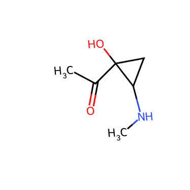 CNC1CC1(O)C(C)=O